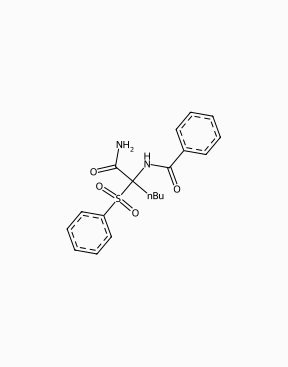 CCCCC(NC(=O)c1ccccc1)(C(N)=O)S(=O)(=O)c1ccccc1